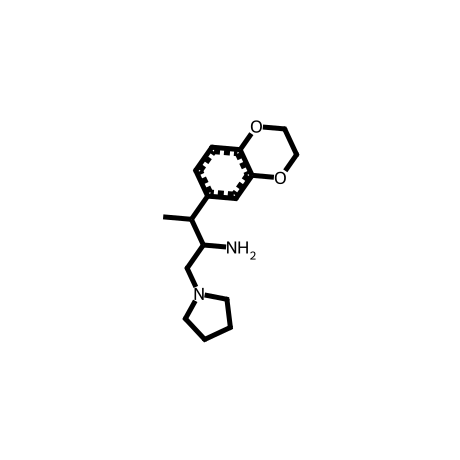 CC(c1ccc2c(c1)OCCO2)C(N)CN1CCCC1